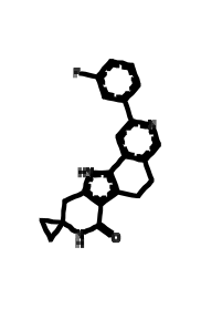 O=C1NC2(CC2)Cc2[nH]c3c(c21)CCc1cnc(-c2cccc(F)c2)cc1-3